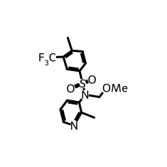 COCN(c1cccnc1C)S(=O)(=O)c1ccc(C)c(C(F)(F)F)c1